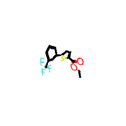 CCOC(=O)c1ccc(-c2cccc(C(F)(F)F)c2)s1